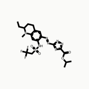 CCC1CCc2cc(N=Nc3nnc(C(=O)OC(C)C)s3)c(NS(=O)(=O)CC(F)(F)F)cc2N1C